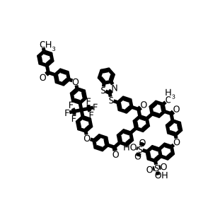 Cc1ccc(C(=O)c2ccc(Oc3ccc(C(c4ccc(Oc5ccc(C(=O)c6ccc(-c7ccc(-c8ccc(C)c(C(=O)c9ccc(Oc%10ccc%11c(S(=O)(=O)O)cc(S(=O)(=O)O)cc%11c%10)cc9)c8)c(C(=O)c8ccc(Sc9nc%10ccccc%10s9)cc8)c7)cc6)cc5)cc4)(C(F)(F)F)C(F)(F)F)cc3)cc2)cc1